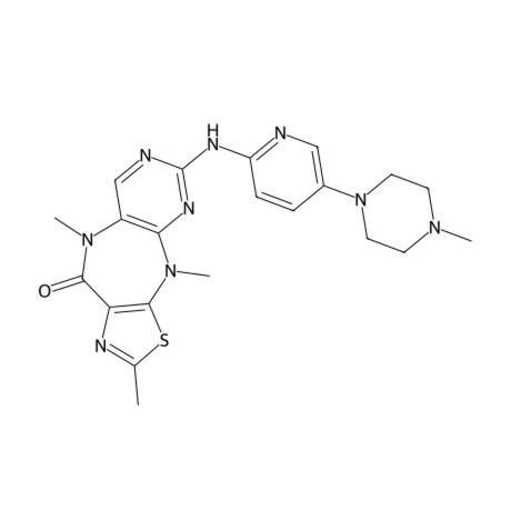 Cc1nc2c(s1)N(C)c1nc(Nc3ccc(N4CCN(C)CC4)cn3)ncc1N(C)C2=O